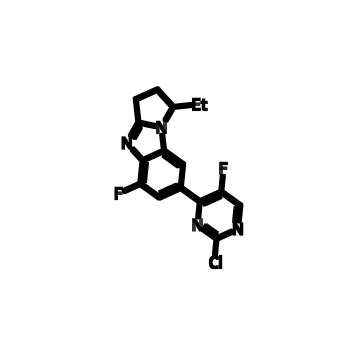 CCC1CCc2nc3c(F)cc(-c4nc(Cl)ncc4F)cc3n21